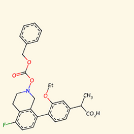 CCOc1cc(C(C)C(=O)O)ccc1-c1ccc(F)c2c1CN(OC(=O)OCc1ccccc1)CC2